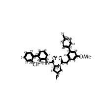 COc1cc(CC(=O)N2C[C@H](F)C[C@H]2C(=O)Nc2cccc(-c3ccccc3Cl)c2F)cc(-c2cnc(C)nc2)c1